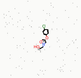 C[C@H](O)CN1C[C@@H](Oc2ccc(Cl)cc2)CO1